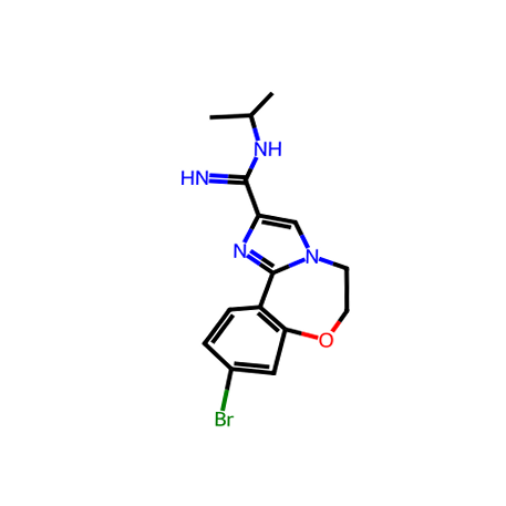 CC(C)NC(=N)c1cn2c(n1)-c1ccc(Br)cc1OCC2